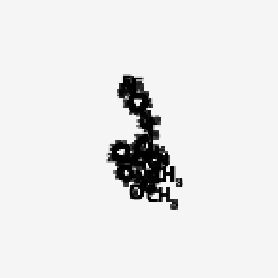 COC(=O)N[C@H]1CCC[C@@H]1C(Cn1ccnc1C)(c1ccccc1)C1CCN(CC2CN(c3ccc(C(F)(F)F)cc3)C2)CC1